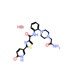 Br.NC(=O)CN1CCN(c2ccccc2NC(=O)c2csc(-c3ccc(=O)[nH]c3)n2)CC1